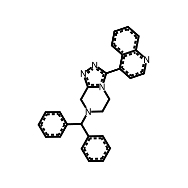 c1ccc(C(c2ccccc2)N2CCn3c(nnc3-c3ccnc4ccccc34)C2)cc1